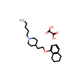 CCCCCN1CCC(CCOc2cccc3c2CCCC3)CC1.O=C(O)C(=O)O